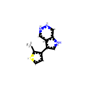 FC(F)(F)c1sccc1-c1c[nH]c2cnncc12